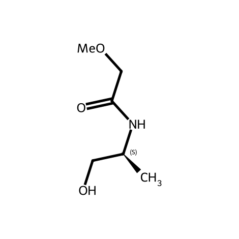 COCC(=O)N[C@@H](C)CO